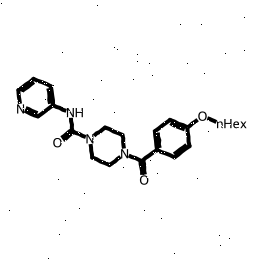 CCCCCCOc1ccc(C(=O)N2CCN(C(=O)Nc3cccnc3)CC2)cc1